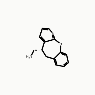 NC[C@H]1Cc2ccccc2Oc2ncccc21